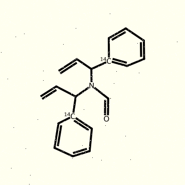 C=CC([14c]1ccccc1)N([C]=O)C(C=C)[14c]1ccccc1